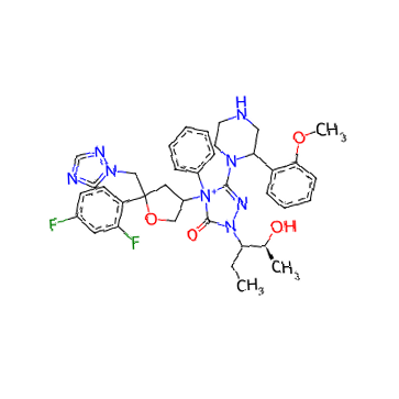 CCC([C@H](C)O)N1N=C(N2CCNCC2c2ccccc2OC)[N+](c2ccccc2)(C2COC(Cn3cncn3)(c3ccc(F)cc3F)C2)C1=O